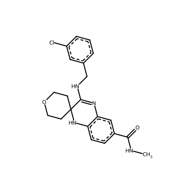 CNC(=O)c1ccc2c(c1)N=C(NCc1cccc(Cl)c1)C1(CCOCC1)N2